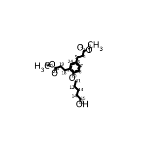 COC(=O)CCc1ccc(OCCCCCO)c(CCC(=O)OC)c1